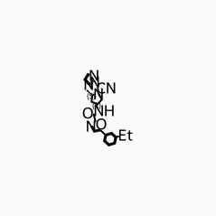 CCc1cccc(-c2cnc(C(=O)N[C@@H]3C[C@@H](Cn4ccnn4)N(C#N)C3)o2)c1